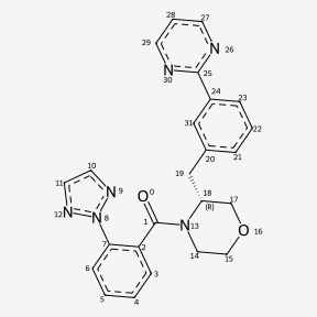 O=C(c1ccccc1-n1nccn1)N1CCOC[C@H]1Cc1cccc(-c2ncccn2)c1